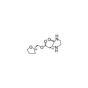 O=C(C[C@@H]1NCCNC1=O)OC[C@H]1CCCO1